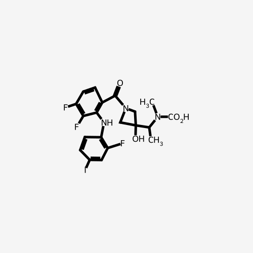 CC(N(C)C(=O)O)C1(O)CN(C(=O)c2ccc(F)c(F)c2Nc2ccc(I)cc2F)C1